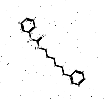 S=C(NCCCCCCc1ccccc1)Oc1ccccc1